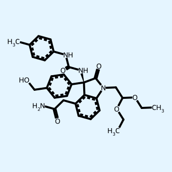 CCOC(CN1C(=O)[C@@](NC(=O)Nc2ccc(C)cc2)(c2ccc(CO)cc2)c2c(CC(N)=O)cccc21)OCC